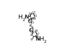 Cc1cc(OCCCOc2ccccc2N)ccc1N